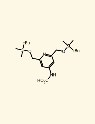 CC(C)(C)[Si](C)(C)OCc1cc(NC(=O)O)cc(CO[Si](C)(C)C(C)(C)C)n1